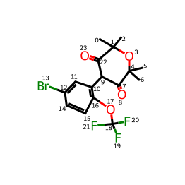 CC1(C)OC(C)(C)C(=O)C(c2cc(Br)ccc2OC(F)(F)F)C1=O